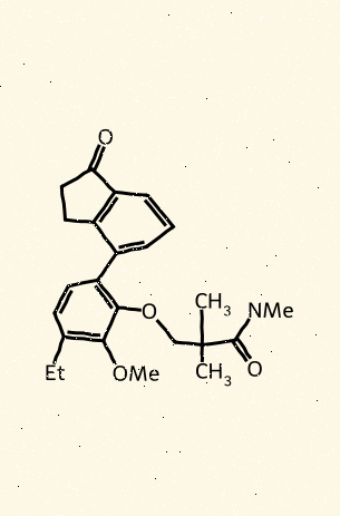 CCc1ccc(-c2cccc3c2CCC3=O)c(OCC(C)(C)C(=O)NC)c1OC